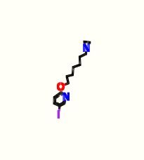 Ic1ccc(OCCCCCCCN2CC2)nc1